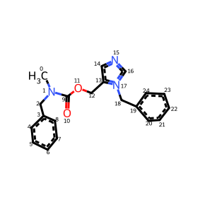 CN(Cc1ccccc1)C(=O)OCc1cncn1Cc1ccccc1